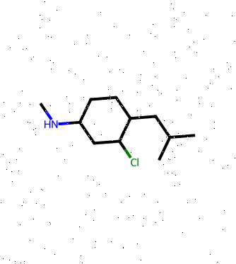 CNC1CCC(CC(C)C)C(Cl)C1